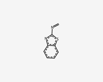 C=Nc1nc2ccccc2s1